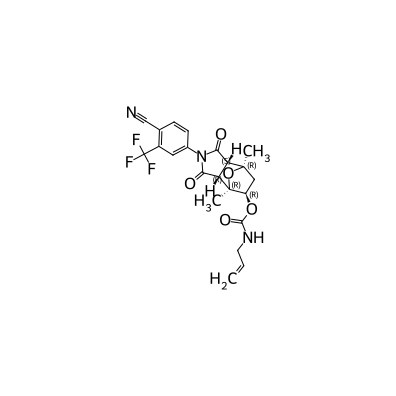 C=CCNC(=O)O[C@@H]1C[C@@]2(C)O[C@]1(C)[C@@H]1C(=O)N(c3ccc(C#N)c(C(F)(F)F)c3)C(=O)[C@@H]12